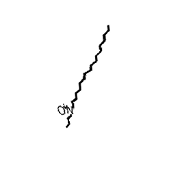 CCCCCCCCCCCCCCCCCCN([C]=O)CCCC